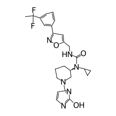 CC(F)(F)c1cccc(-c2cc(CNC(=O)N(C3CC3)[C@@H]3CCCN(c4ccnc(O)n4)C3)on2)c1